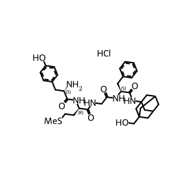 CSCC[C@@H](NC(=O)[C@@H](N)Cc1ccc(O)cc1)C(=O)NCC(=O)N[C@@H](Cc1ccccc1)C(=O)NC12CC3CC(CC(CO)(C3)C1)C2.Cl